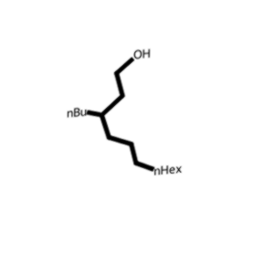 CCCCCCCCCC(CCO)CCCC